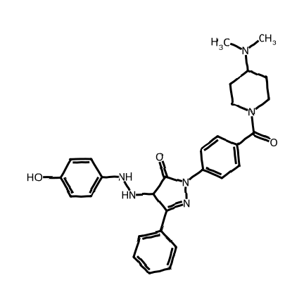 CN(C)C1CCN(C(=O)c2ccc(N3N=C(c4ccccc4)C(NNc4ccc(O)cc4)C3=O)cc2)CC1